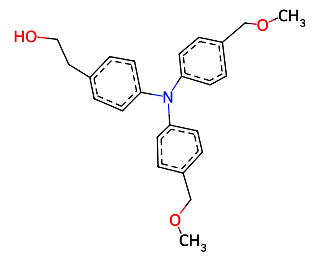 COCc1ccc(N(c2ccc(CCO)cc2)c2ccc(COC)cc2)cc1